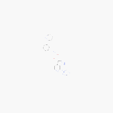 COc1cnc(-n2cnc(C)n2)c2[nH]cc(C(=O)C(=O)N3CCc4c(cccc4-c4ccccn4)C3)c12